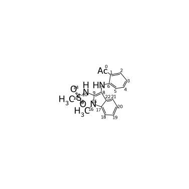 CC(=O)c1ccccc1Nc1c(NS(C)(=O)=O)n(C)c2ccccc12